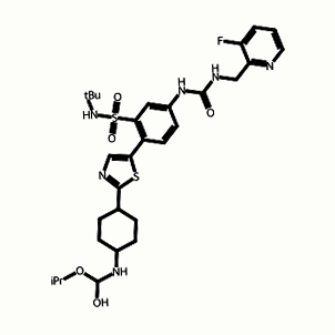 CC(C)OC(O)NC1CCC(c2ncc(-c3ccc(NC(=O)NCc4ncccc4F)cc3S(=O)(=O)NC(C)(C)C)s2)CC1